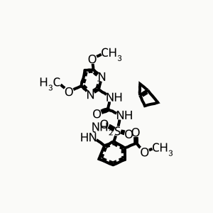 C1CC2=C1C2.COC(=O)c1cccc(NN)c1S(=O)(=O)NC(=O)Nc1nc(OC)cc(OC)n1